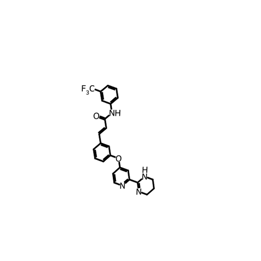 O=C(C=Cc1cccc(Oc2ccnc(C3=NCCCN3)c2)c1)Nc1cccc(C(F)(F)F)c1